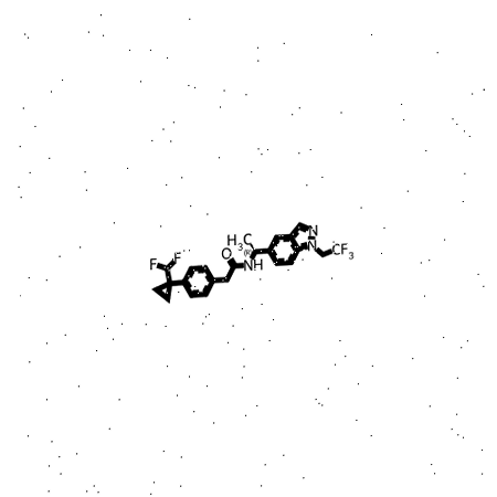 C[C@@H](NC(=O)Cc1ccc(C2(C(F)F)CC2)cc1)c1ccc2c(cnn2CC(F)(F)F)c1